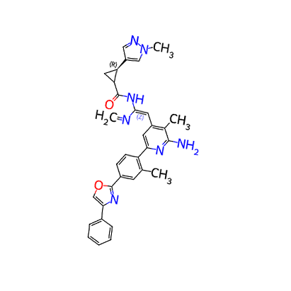 C=N/C(=C\c1cc(-c2ccc(-c3nc(-c4ccccc4)co3)cc2C)nc(N)c1C)NC(=O)C1C[C@H]1c1cnn(C)c1